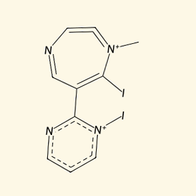 C[N+]1=C=CN=CC(c2nccc[n+]2I)=C1I